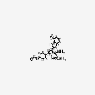 COc1cccc2cc(-c3nc(C4CCC(OC=O)CC4)n4ncnc(N)c34)[nH]c12.[CaH2]